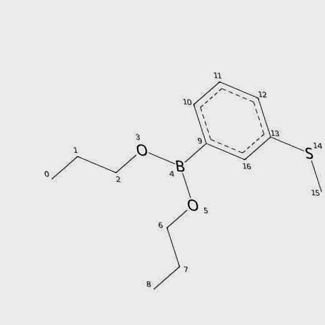 CCCOB(OCCC)c1cccc(SC)c1